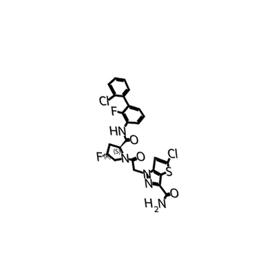 NC(=O)c1nn(CC(=O)N2C[C@H](F)C[C@H]2C(=O)Nc2cccc(-c3ccccc3Cl)c2F)c2cc(Cl)sc12